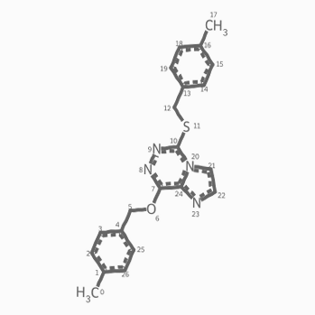 Cc1ccc(COc2nnc(SCc3ccc(C)cc3)n3ccnc23)cc1